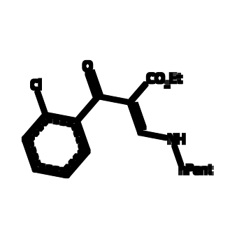 CCCCCNC=C(C(=O)OCC)C(=O)c1ccccc1Cl